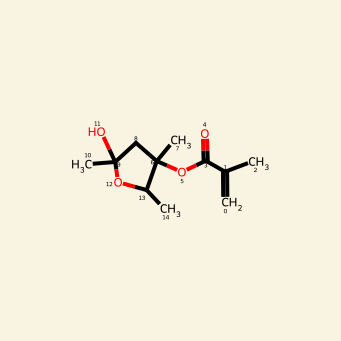 C=C(C)C(=O)OC1(C)CC(C)(O)OC1C